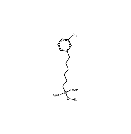 CCO[Si](CCCCCCc1cccc(C(F)(F)F)c1)(OC)OC